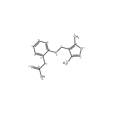 Cc1noc(C)c1CSc1ccccc1CC(=O)O